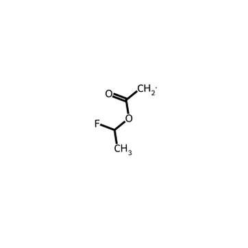 [CH2]C(=O)OC(C)F